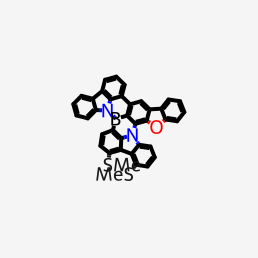 CSc1cccc2c1c1c(SC)ccc3c1n2-c1c2c(cc4c1oc1ccccc14)-c1cccc4c5ccccc5n(c14)B23